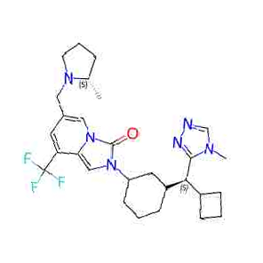 C[C@H]1CCCN1Cc1cc(C(F)(F)F)c2cn(C3CCCC([C@@H](c4nncn4C)C4CCC4)C3)c(=O)n2c1